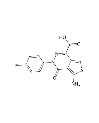 Nc1scc2c(C(=O)O)nn(-c3ccc(F)cc3)c(=O)c12